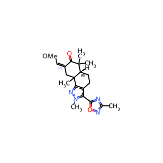 CO/C=C1/CC2(C)c3nn(C)c(-c4nc(C)no4)c3CC[C@H]2C(C)(C)C1=O